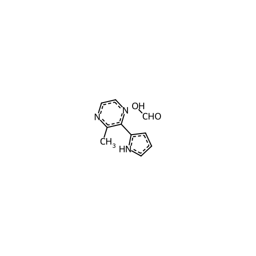 Cc1nccnc1-c1ccc[nH]1.O=CO